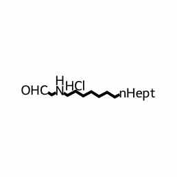 CCCCCCCCCCCCCCNCC=O.Cl